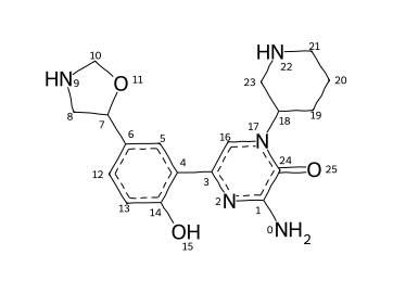 Nc1nc(-c2cc(C3CNCO3)ccc2O)cn(C2CCCNC2)c1=O